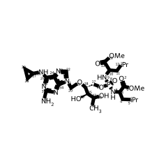 COC(=O)C(CC(C)C)NP(=O)(NC(CC(C)C)C(=O)OC)OC[C@@H](OCn1cnc2c(NC3CC3)nc(N)nc21)[C@H](O)C(C)O